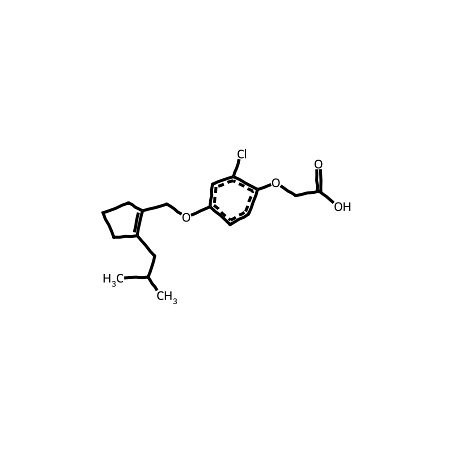 CC(C)CC1=C(COc2ccc(OCC(=O)O)c(Cl)c2)CCC1